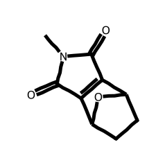 CN1C(=O)C2=C(C1=O)C1CCC2O1